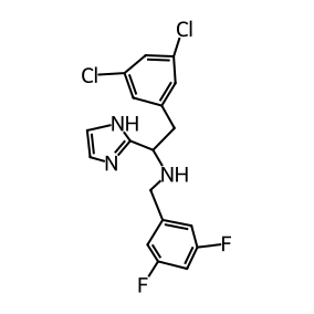 Fc1cc(F)cc(CNC(Cc2cc(Cl)cc(Cl)c2)c2ncc[nH]2)c1